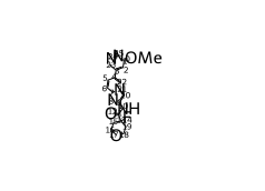 COc1cc(-c2ccc3nc(NC(=O)C4(F)CCOCC4)cn3c2)cnn1